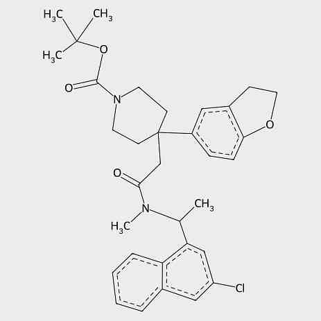 CC(c1cc(Cl)cc2ccccc12)N(C)C(=O)CC1(c2ccc3c(c2)CCO3)CCN(C(=O)OC(C)(C)C)CC1